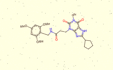 CCCn1c(=O)c2[nH]c(C3CCCC3)nc2n(CCC(=O)NCc2c(OC)cc(OC)cc2OC)c1=O